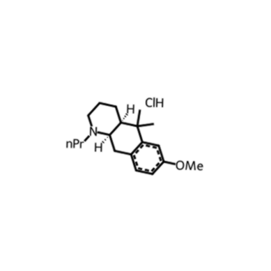 CCCN1CCC[C@@H]2[C@H]1Cc1ccc(OC)cc1C2(C)C.Cl